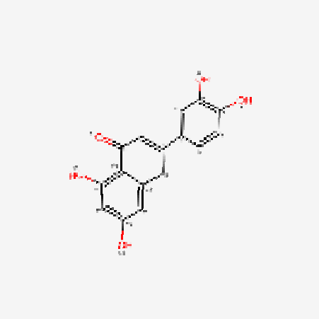 O=C1C=C(c2ccc(O)c(O)c2)Cc2cc(O)cc(O)c21